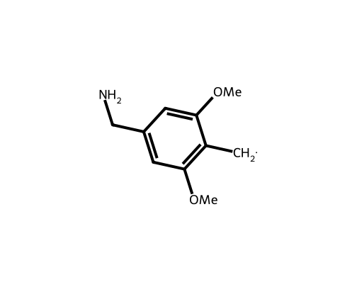 [CH2]c1c(OC)cc(CN)cc1OC